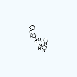 O=C(OCC1CCCN1c1ccnc2ncnn12)c1ccc(Oc2ccccc2)nc1